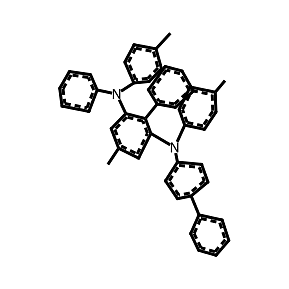 Cc1ccc(N(c2ccccc2)c2cc(C)cc(N(c3ccc(C)cc3)c3ccc(-c4ccccc4)cc3)c2-c2ccccc2)cc1